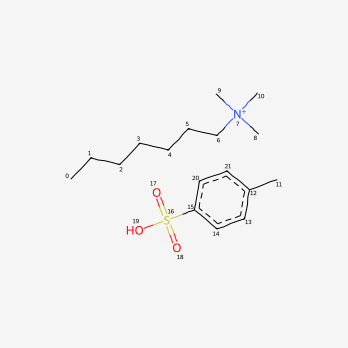 CCCCCCC[N+](C)(C)C.Cc1ccc(S(=O)(=O)O)cc1